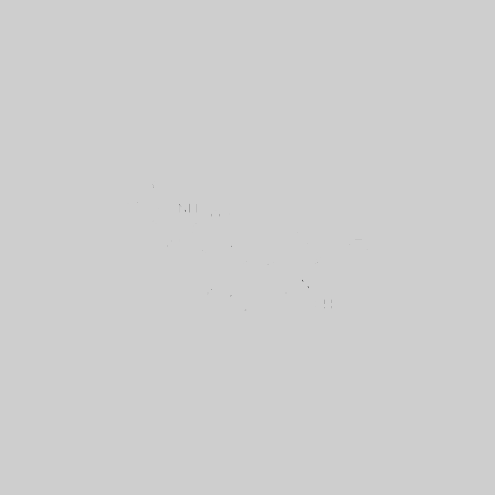 C=CC(=O)N(C)c1ccc2ccc(S(=O)(=O)NC3(C)CC3)cc2c1